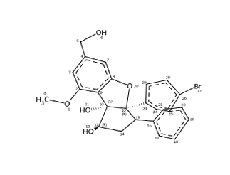 COc1cc(CO)cc2c1[C@]1(O)[C@H](O)CC(c3ccccc3)[C@]1(c1ccc(Br)cc1)O2